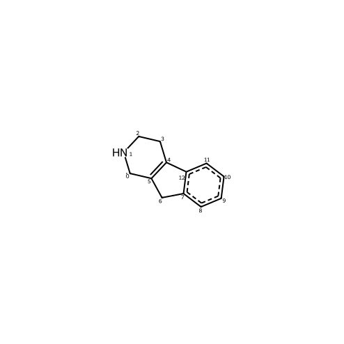 [CH]1NCCC2=C1Cc1ccccc12